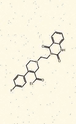 CCC(=O)C1=C(c2ccc(F)cc2)CCN(CCn2c(=O)[nH]c3ccccc3c2=O)C1